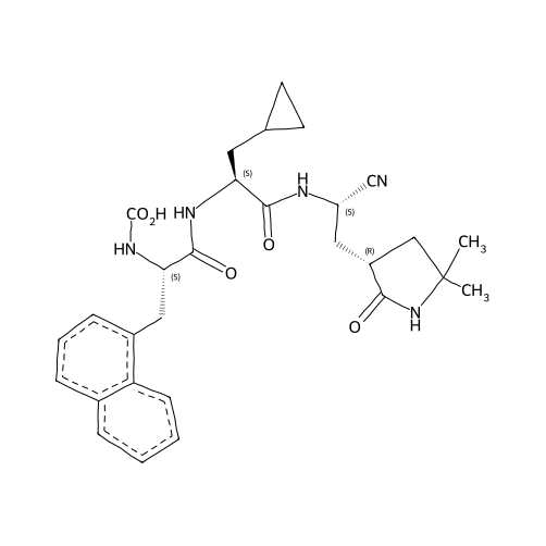 CC1(C)C[C@@H](C[C@@H](C#N)NC(=O)[C@H](CC2CC2)NC(=O)[C@H](Cc2cccc3ccccc23)NC(=O)O)C(=O)N1